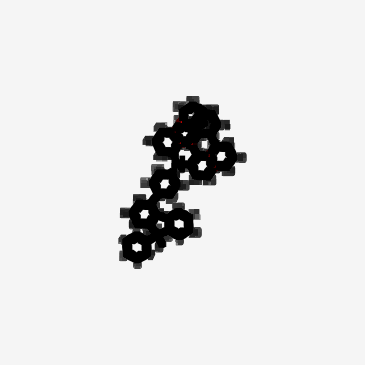 CC1(c2ccccc2)c2ccccc2-c2c(-c3ccc(N(c4ccccc4-c4cccc5cccc(-c6ccccc6)c45)c4cccc5c4sc4ccccc45)cc3)cccc21